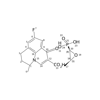 CC1CCc2cc(F)cc3c(=O)c(C(=O)O)cn1c23.C[C@@H]1O[C@@H]1P(=O)(O)O